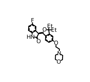 CCC1(CC)OC(=C2C(=O)Nc3ccc(F)cc32)c2ccc(OCCN3CCOCC3)cc21